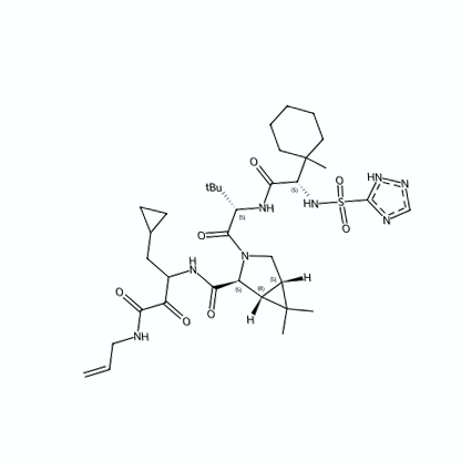 C=CCNC(=O)C(=O)C(CC1CC1)NC(=O)[C@@H]1[C@@H]2[C@H](CN1C(=O)[C@@H](NC(=O)[C@@H](NS(=O)(=O)c1ncn[nH]1)C1(C)CCCCC1)C(C)(C)C)C2(C)C